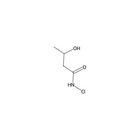 CC(O)CC(=O)NCl